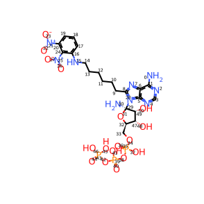 Nc1ncnc2c1nc(CCCCCCNc1cccc([N+](=O)[O-])c1[N+](=O)[O-])n2[C@]1(N)O[C@H](COP(=O)(O)OP(=O)(O)OP(=O)(O)O)[C@@H](O)[C@H]1O